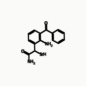 NC(=O)[CH]([SrH])c1cccc(C(=O)c2ccccc2)c1N